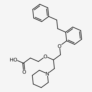 O=C(O)CCOC(COc1ccccc1CCc1ccccc1)CN1CCCCC1